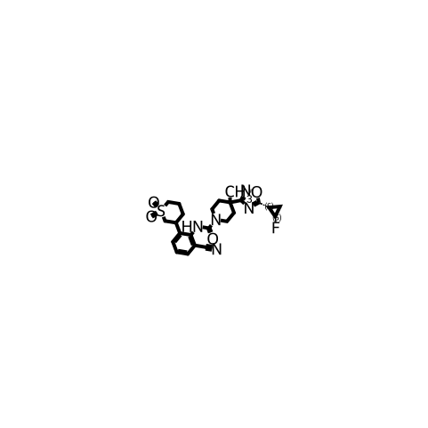 CC1(c2noc([C@@H]3C[C@@H]3F)n2)CCN(C(=O)Nc2c(C#N)cccc2C2CCCS(=O)(=O)C2)CC1